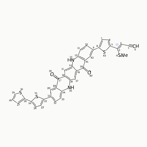 C#C/C=C(\SC)c1ccc(-c2ccc3[nH]c4cc5c(=O)c6cc(-c7ccc(-c8cccs8)s7)ccc6[nH]c5cc4c(=O)c3c2)s1